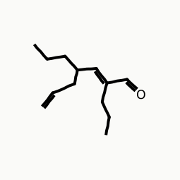 C=CCC(/C=C(/C=O)CCC)CCC